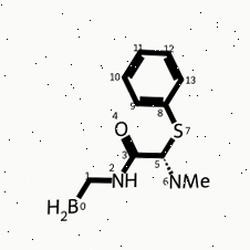 BCNC(=O)[C@@H](NC)Sc1ccccc1